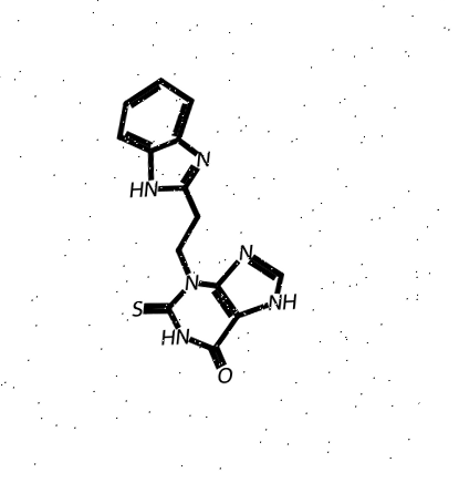 O=c1[nH]c(=S)n(CCc2nc3ccccc3[nH]2)c2nc[nH]c12